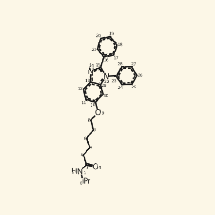 CC(C)NC(=O)CCCCCOc1ccc2nc(-c3ccccc3)n(-c3ccccc3)c2c1